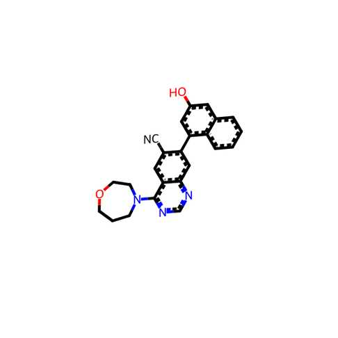 N#Cc1cc2c(N3CCCOCC3)ncnc2cc1-c1cc(O)cc2ccccc12